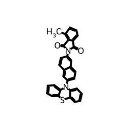 Cc1cccc2c1C(=O)N(c1ccc3cc(N4c5ccccc5Sc5ccccc54)ccc3c1)C2=O